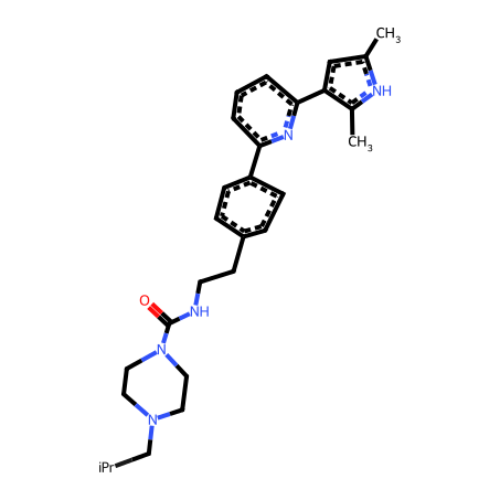 Cc1cc(-c2cccc(-c3ccc(CCNC(=O)N4CCN(CC(C)C)CC4)cc3)n2)c(C)[nH]1